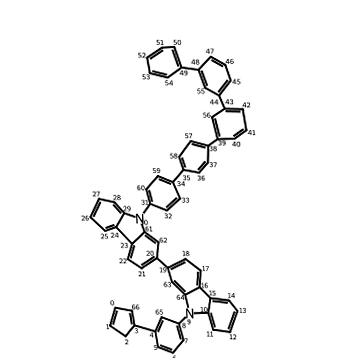 C1=CCC(c2cccc(-n3c4ccccc4c4ccc(-c5ccc6c7ccccc7n(-c7ccc(-c8ccc(-c9cccc(-c%10cccc(-c%11ccccc%11)c%10)c9)cc8)cc7)c6c5)cc43)c2)=C1